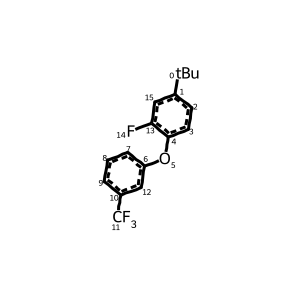 CC(C)(C)c1ccc(Oc2cccc(C(F)(F)F)c2)c(F)c1